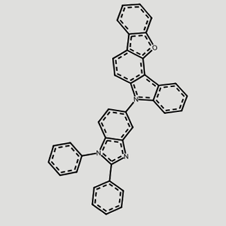 c1ccc(-c2nc3cc(-n4c5ccccc5c5c6oc7ccccc7c6ccc54)ccc3n2-c2ccccc2)cc1